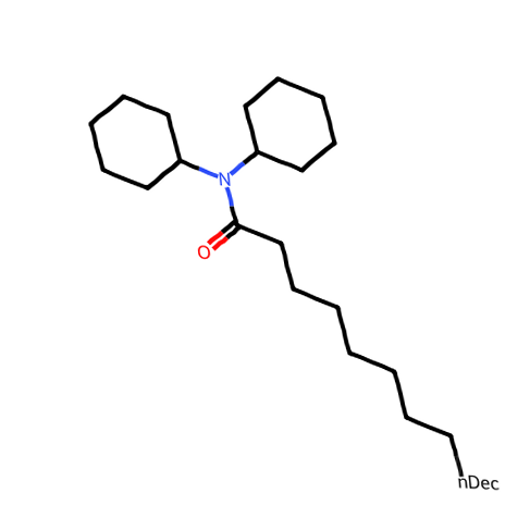 CCCCCCCCCCCCCCCCCC(=O)N(C1CCCCC1)C1CCCCC1